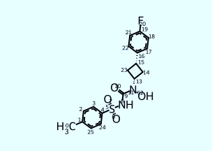 Cc1ccc(S(=O)(=O)NC(=O)N(O)[C@H]2C[C@@H](c3ccc(F)cc3)C2)cc1